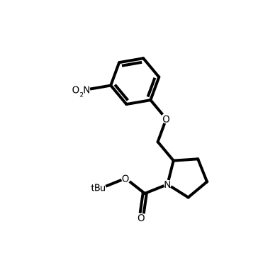 CC(C)(C)OC(=O)N1CCCC1COc1cccc([N+](=O)[O-])c1